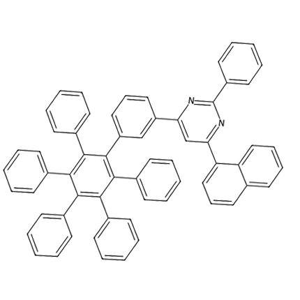 c1ccc(-c2nc(-c3cccc(-c4c(-c5ccccc5)c(-c5ccccc5)c(-c5ccccc5)c(-c5ccccc5)c4-c4ccccc4)c3)cc(-c3cccc4ccccc34)n2)cc1